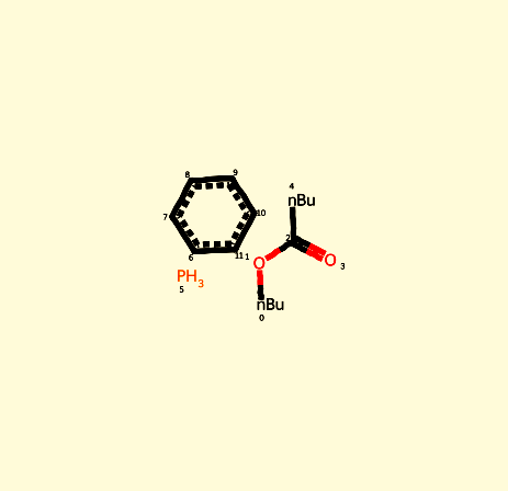 CCCCOC(=O)CCCC.P.c1ccccc1